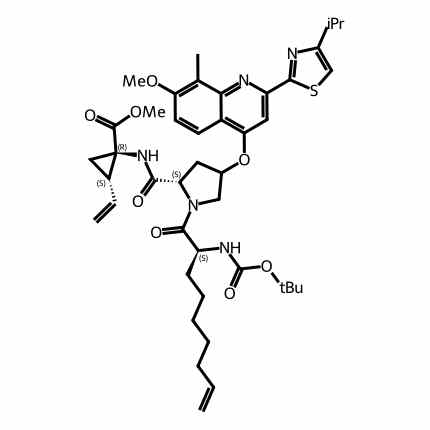 C=CCCCCC[C@H](NC(=O)OC(C)(C)C)C(=O)N1CC(Oc2cc(-c3nc(C(C)C)cs3)nc3c(C)c(OC)ccc23)C[C@H]1C(=O)N[C@]1(C(=O)OC)C[C@H]1C=C